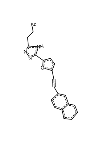 CC(=O)CCc1nnc(-c2ccc(C#Cc3ccc4ccccc4c3)o2)[nH]1